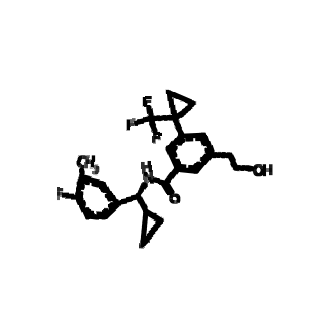 Cc1cc([C@@H](NC(=O)c2cc(CCO)cc(C3(C(F)(F)F)CC3)c2)C2CC2)ccc1F